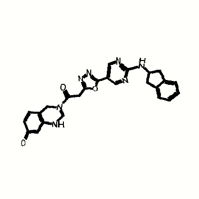 O=C1C=CC2=C(C1)NCN(C(=O)Cc1nnc(-c3cnc(NC4Cc5ccccc5C4)nc3)o1)C2